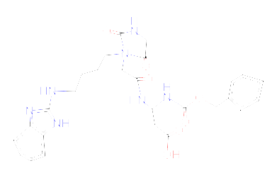 O=C(O)CC(NC(=O)C[N+]1(CCCCNc2nc3ccccc3[nH]2)C(=O)CNC1=O)NC(=O)OCc1ccccc1